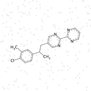 Cc1cc(C(C)Cc2cnc(-c3ncccn3)nc2)ccc1Cl